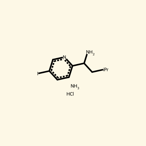 CC(C)CC(N)c1ccc(I)cn1.Cl.N